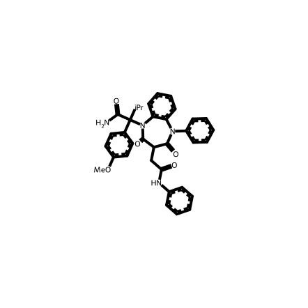 COc1ccc(C(C(N)=O)(C(C)C)N2C(=O)C(CC(=O)Nc3ccccc3)C(=O)N(c3ccccc3)c3ccccc32)cc1